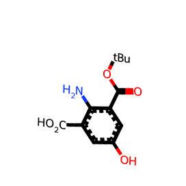 CC(C)(C)OC(=O)c1cc(O)cc(C(=O)O)c1N